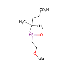 CC(C)(CCC(=O)O)C[PH](=O)CCOC(C)(C)C